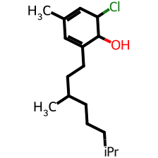 CC1=CC(Cl)C(O)C(CCC(C)CCCC(C)C)=C1